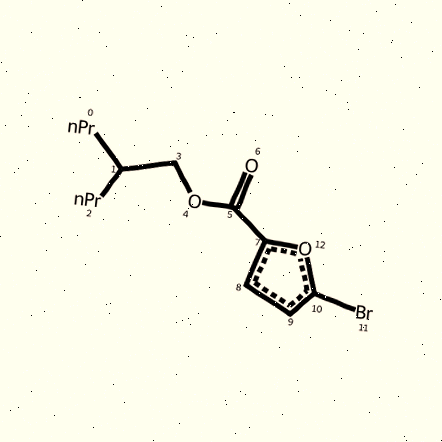 CCCC(CCC)COC(=O)c1ccc(Br)o1